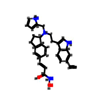 COc1ccc2c(CCN(Cc3ccc[nH]3)C3CCc4cc(C=CC(=O)NO)ccc43)c[nH]c2c1